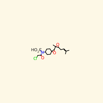 CC(C)=CCC1OC1(C)C1OC12CCC(N(C(=O)O)C(=O)CCl)CC2